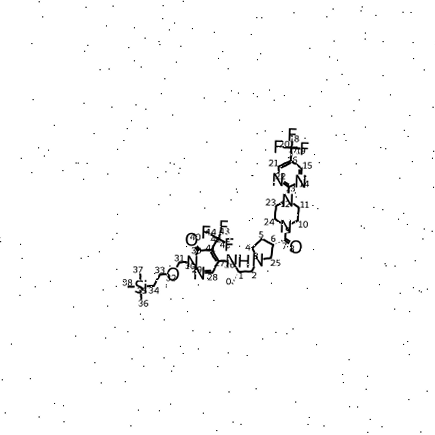 C[C@@H](CN1CC[C@H](C(=O)N2CCN(c3ncc(C(F)(F)F)cn3)CC2)C1)Nc1cnn(COCC[Si](C)(C)C)c(=O)c1C(F)(F)F